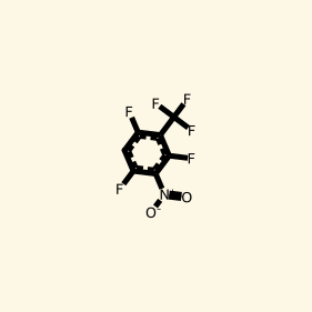 O=[N+]([O-])c1c(F)cc(F)c(C(F)(F)F)c1F